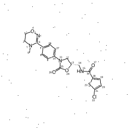 CN1CCON=C1c1ccc(N2C[C@H](CNC(=O)c3ccc(Cl)s3)OC2=O)cc1